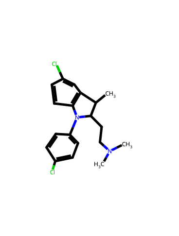 CC1c2cc(Cl)ccc2N(c2ccc(Cl)cc2)C1CCN(C)C